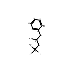 FC(F)(F)CC(I)Cc1ccccc1